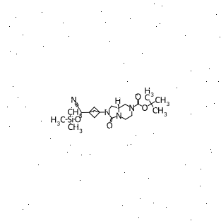 CC(C)(C)OC(=O)N1CCN2C(=O)N(C34CC(C(C#N)O[Si](C)(C)C)(C3)C4)C[C@@H]2C1